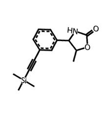 CC1OC(=O)NC1c1cccc(C#C[Si](C)(C)C)c1